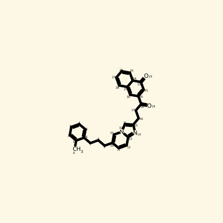 Cc1ccccc1CCCc1ccc2nc(CCC(=O)C3=CC(=O)C4C=CC=CC4=C3)cn2c1